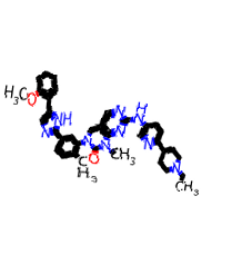 CCN1CCC(c2ccc(Nc3ncc4c(n3)N(C)C(=O)N(c3cc(-c5ncc(-c6ccccc6OC)[nH]5)ccc3C)C4)cn2)CC1